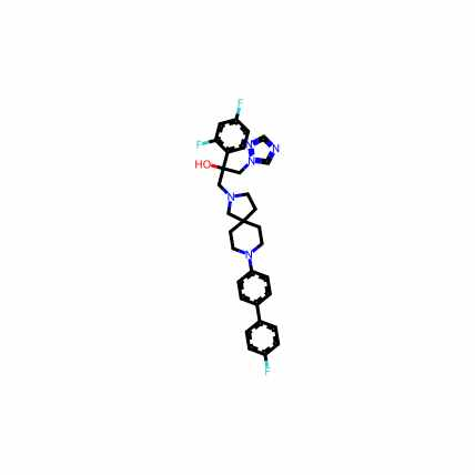 OC(CN1CCC2(CCN(c3ccc(-c4ccc(F)cc4)cc3)CC2)C1)(Cn1cncn1)c1ccc(F)cc1F